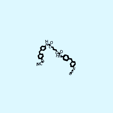 N#COc1ccc(Cc2ccc(NC(=O)OCCCOC(=O)Nc3ccc(Cc4ccc(N=C=O)cc4)cc3)cc2)cc1